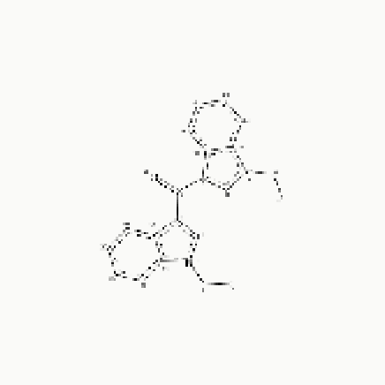 CCn1cc(C(=O)c2cn(CC)c3ccccc23)c2ccccc21